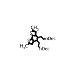 CCCCCCCCCCCCc1c(CCCCCCCCCCCC)c2cc(C)sc2c2sc(C)cc12